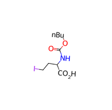 CCCCOC(=O)NC(CCI)C(=O)O